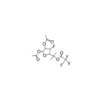 CC(=O)OC1OC(C(C)(C)OC(=O)C(F)(F)F)C(F)C1OC(C)=O